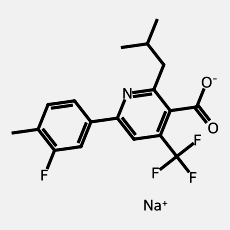 Cc1ccc(-c2cc(C(F)(F)F)c(C(=O)[O-])c(CC(C)C)n2)cc1F.[Na+]